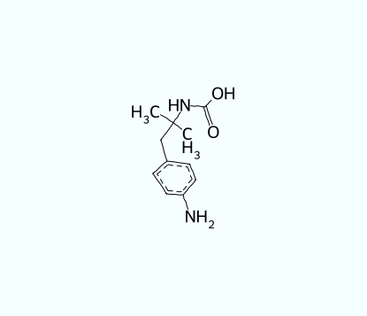 CC(C)(Cc1ccc(N)cc1)NC(=O)O